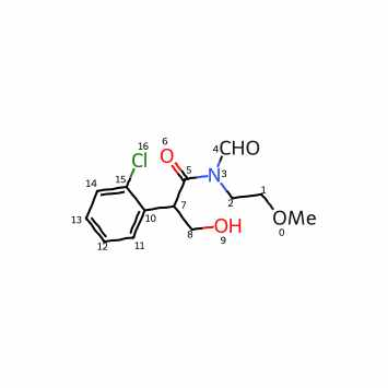 COCCN(C=O)C(=O)C(CO)c1ccccc1Cl